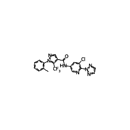 Cc1ccccc1-n1ncc(C(=O)Nc2cnc(-n3nccn3)c(Cl)c2)c1C(F)(F)F